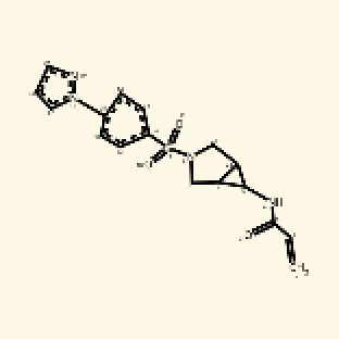 C=CC(=O)NC1C2CN(S(=O)(=O)c3ccc(-n4cccn4)cc3)CC21